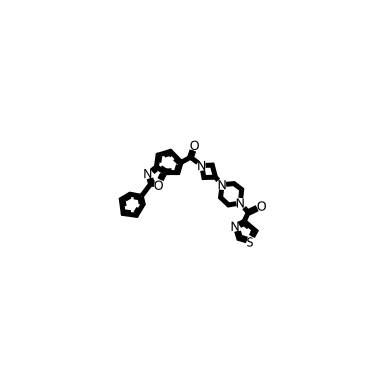 O=C(c1ccc2nc(-c3ccccc3)oc2c1)N1CC(N2CCN(C(=O)c3cscn3)CC2)C1